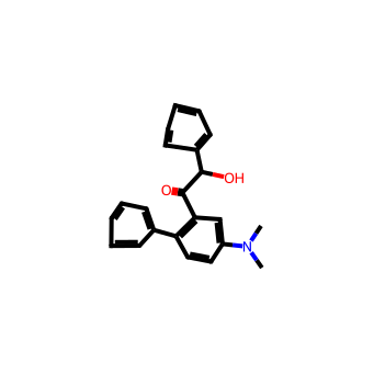 CN(C)c1ccc(-c2ccccc2)c(C(=O)C(O)c2ccccc2)c1